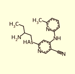 CCC(N)C[AsH]c1cc(Nc2cccc(C)n2)c(C#N)cn1